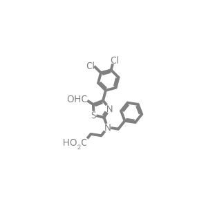 O=Cc1sc(N(CCC(=O)O)Cc2ccccc2)nc1-c1ccc(Cl)c(Cl)c1